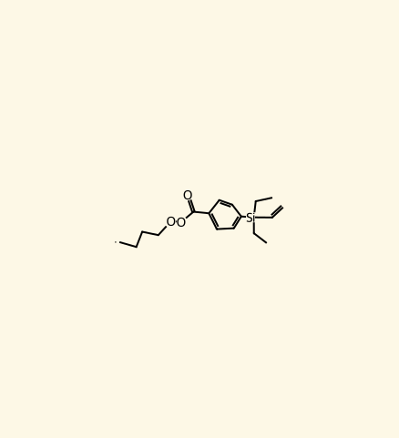 [CH2]CCCOOC(=O)c1ccc([Si](C=C)(CC)CC)cc1